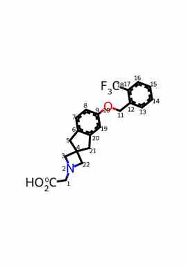 O=C(O)CN1CC2(Cc3ccc(OCc4ccccc4C(F)(F)F)cc3C2)C1